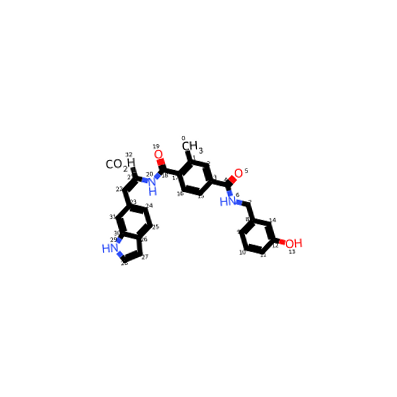 Cc1cc(C(=O)NCc2cccc(O)c2)ccc1C(=O)NC(=Cc1ccc2cc[nH]c2c1)C(=O)O